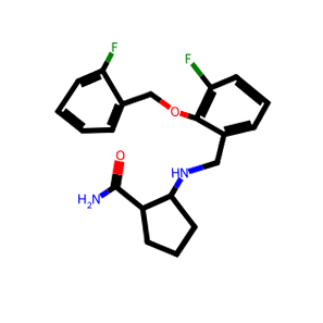 NC(=O)C1CCCC1NCc1cccc(F)c1OCc1ccccc1F